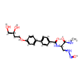 CNC(=O)C(CNN=O)NC(=O)c1ccc(-c2ccc(OCCC(O)CO)cc2)cc1